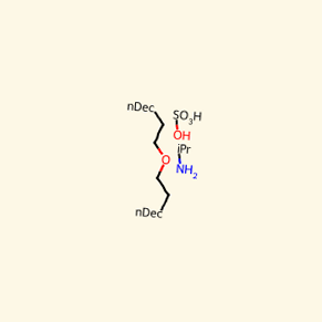 CC(C)N.CCCCCCCCCCCCOCCCCCCCCCCCC.O=S(=O)(O)O